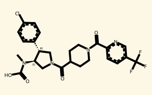 CN(C(=O)O)[C@@H]1CN(C(=O)C2CCN(C(=O)c3ccc(C(F)(F)F)cn3)CC2)C[C@H]1c1ccc(Cl)cc1